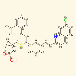 C=C(C)c1ccccc1CCC(SCC1(CC(=O)O)CC1)c1cccc(C=Cc2ccc3ccc(Cl)cc3n2)c1